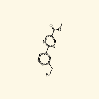 COC(=O)c1cnc(-c2cccc(CBr)c2)nc1